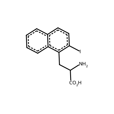 NC(Cc1c(I)ccc2ccccc12)C(=O)O